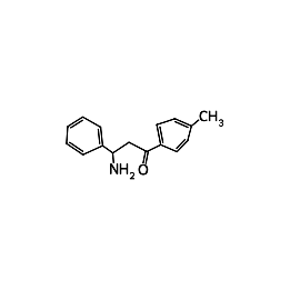 Cc1ccc(C(=O)CC(N)c2ccccc2)cc1